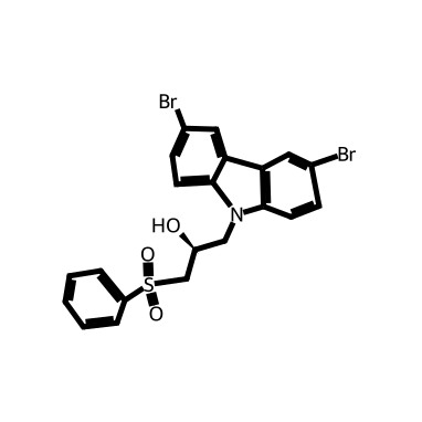 O=S(=O)(C[C@@H](O)Cn1c2ccc(Br)cc2c2cc(Br)ccc21)c1ccccc1